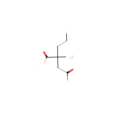 CCCC([SiH3])(CC(=O)O)C(=O)O